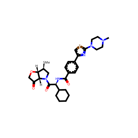 CS[C@H]1CN(C(=O)[C@@H](NC(=O)c2ccc(-c3csc(N4CCN(C)CC4)n3)cc2)C2CCCCC2)[C@@H]2C(=O)CO[C@H]12